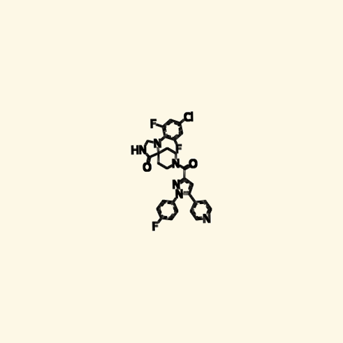 O=C(c1cc(-c2ccncc2)n(-c2ccc(F)cc2)n1)N1CCC2(CC1)C(=O)NCN2c1c(F)cc(Cl)cc1F